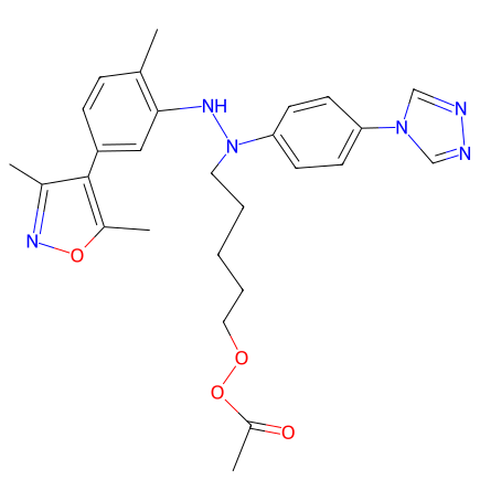 CC(=O)OOCCCCCN(Nc1cc(-c2c(C)noc2C)ccc1C)c1ccc(-n2cnnc2)cc1